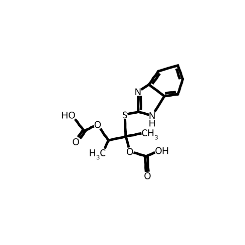 CC(OC(=O)O)C(C)(OC(=O)O)Sc1nc2ccccc2[nH]1